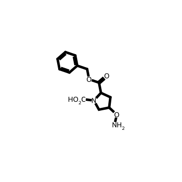 NOC1CC(C(=O)OCc2ccccc2)N(C(=O)O)C1